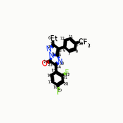 CCc1nn2c(c1-c1ccc(C(F)(F)F)cc1)N=C(c1ccc(F)cc1F)C2=O